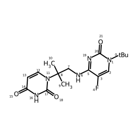 CC(C)(C)n1cc(F)c(NCC(C)(C)n2ccc(=O)[nH]c2=O)nc1=O